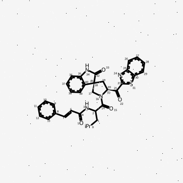 CC(C)CC(NC(=O)C=Cc1ccccc1)C(=O)N1C[C@]2(C[C@H]1C(=O)c1nc3ccccc3s1)C(=O)Nc1ccccc12